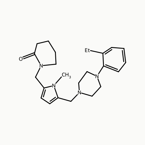 CCc1ccccc1N1CCN(Cc2ccc(CN3CCCCC3=O)n2C)CC1